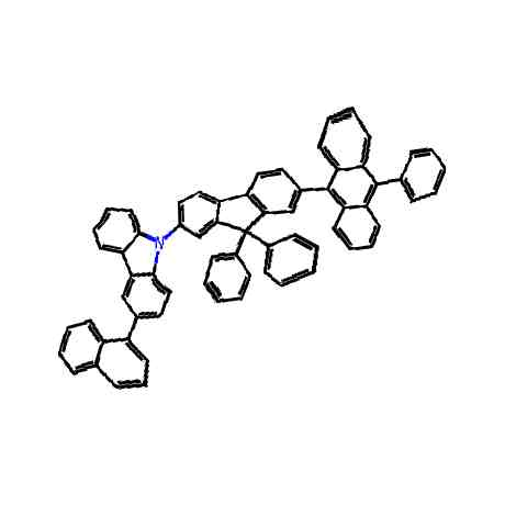 c1ccc(-c2c3ccccc3c(-c3ccc4c(c3)C(c3ccccc3)(c3ccccc3)c3cc(-n5c6ccccc6c6cc(-c7cccc8ccccc78)ccc65)ccc3-4)c3ccccc23)cc1